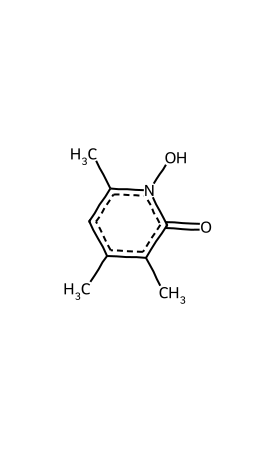 Cc1cc(C)n(O)c(=O)c1C